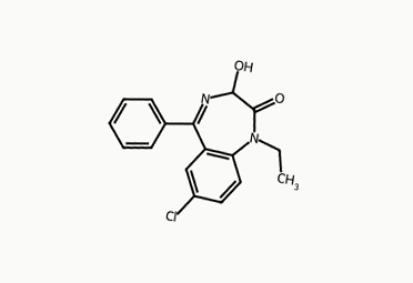 CCN1C(=O)C(O)N=C(c2ccccc2)c2cc(Cl)ccc21